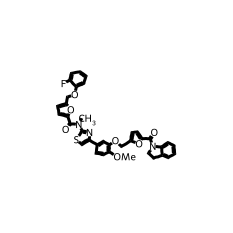 COc1ccc(-c2csc(N(C)C(=O)c3ccc(COc4ccccc4F)o3)n2)cc1OCc1ccc(C(=O)N2CCc3ccccc32)o1